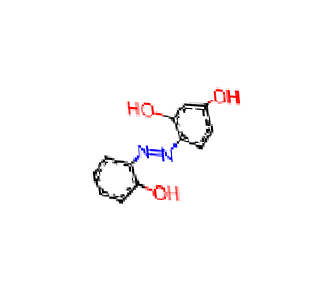 Oc1ccc(N=Nc2ccccc2O)c(O)c1